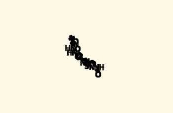 CC(C)(C)c1cc(NC(=O)Nc2ccc(-c3cn4c(n3)sc3nc(NCC=O)ccc34)cc2)no1